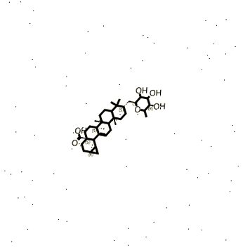 CC1O[C@@H](C[C@@H]2CC[C@@]3(C)C(CC[C@]4(C)C3CC=C3C5C6C[C@@]6(C)CC[C@]5(C(=O)O)CC[C@]34C)C2(C)C)C(O)C(O)[C@H]1O